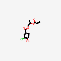 C=CC(=O)OC(C)COC(=O)c1ccc(O)c(Cl)c1